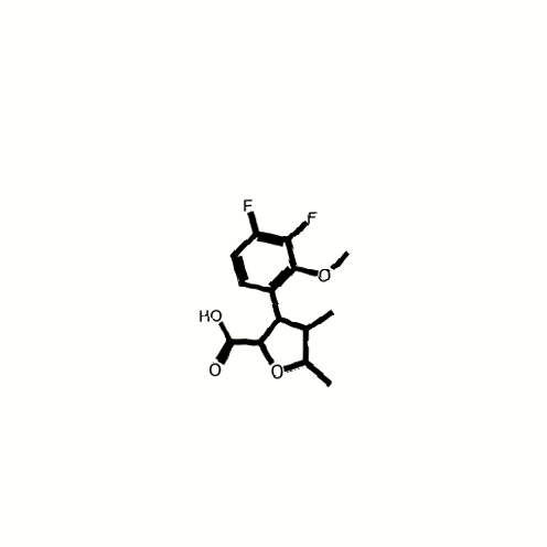 COc1c(C2C(C(=O)O)OC(C)C2C)ccc(F)c1F